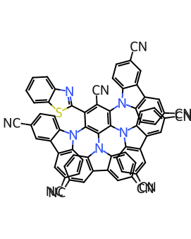 N#Cc1ccc2c(c1)c1cc(C#N)ccc1n2-c1c(C#N)c(-c2nc3ccccc3s2)c(-n2c3ccc(C#N)cc3c3cc(C#N)ccc32)c(-n2c3ccc(C#N)cc3c3cc(C#N)ccc32)c1-n1c2ccc(C#N)cc2c2cc(C#N)ccc21